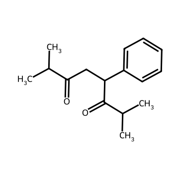 CC(C)C(=O)CC(C(=O)C(C)C)c1ccccc1